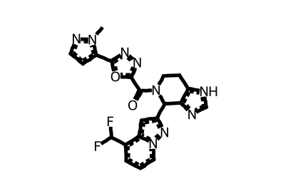 Cn1nccc1-c1nnc(C(=O)N2CCc3[nH]cnc3C2c2cc3c(C(F)F)cccn3n2)o1